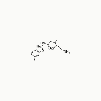 Cc1ccc2nc(NC(=O)CN(C)C(=O)CCN)sc2c1